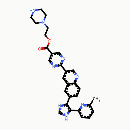 Cc1cccc(-c2[nH]cnc2-c2ccc3ncc(-c4ncc(C(=O)OCCN5CCNCC5)cn4)cc3c2)n1